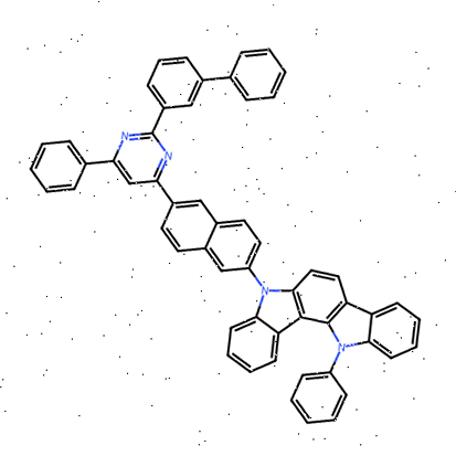 c1ccc(-c2cccc(-c3nc(-c4ccccc4)cc(-c4ccc5cc(-n6c7ccccc7c7c6ccc6c8ccccc8n(-c8ccccc8)c67)ccc5c4)n3)c2)cc1